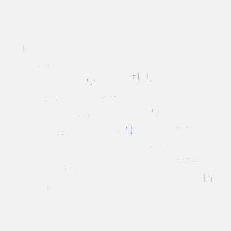 CCOc1ccc(Br)cc1CN1CCC(=O)C(C(c2ccc(F)cc2)c2ccc(F)cc2)C1